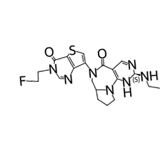 CCN[C@@H]1N=CC2=C(N1)N1CCCC1CN(c1csc3c(=O)n(CCF)cnc13)C2=O